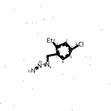 CCc1cc(Cl)ccc1CN=[N+]=[N-]